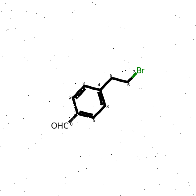 O=Cc1ccc(CCBr)cc1